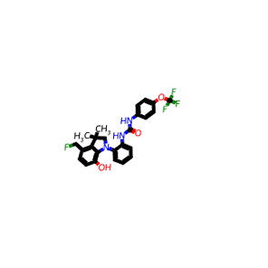 CC1(C)CN(c2ccccc2NC(=O)Nc2ccc(OC(F)(F)F)cc2)c2c(O)ccc(CF)c21